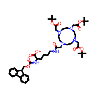 CC(C)(C)OC(=O)CN1CCN(CC(=O)NCCCCC(NC(=O)OCC2c3ccccc3-c3ccccc32)C(=O)O)CCN(CC(=O)OC(C)(C)C)CCN(CC(=O)OC(C)(C)C)CC1